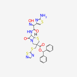 Nc1nc(C(=NO)C(=O)NC2C(=O)N3CC(CSc4ncns4)(C(=O)OC(c4ccccc4)c4ccccc4)CS[C@H]23)cs1